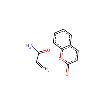 C=CC(N)=O.O=c1ccc2ccccc2o1